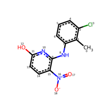 Cc1c(Cl)cccc1Nc1nc(O)ccc1[N+](=O)[O-]